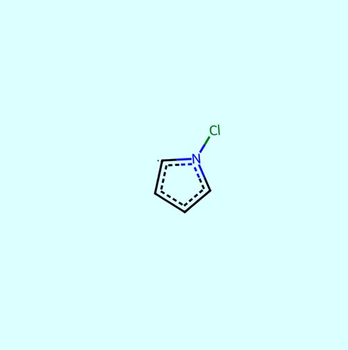 Cln1[c]ccc1